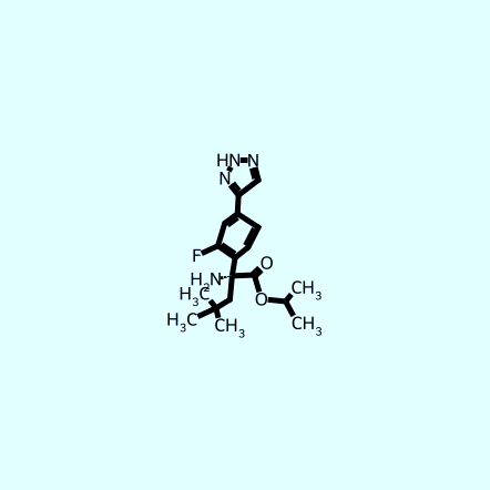 CC(C)OC(=O)[C@@](N)(CC(C)(C)C)c1ccc(-c2cn[nH]n2)cc1F